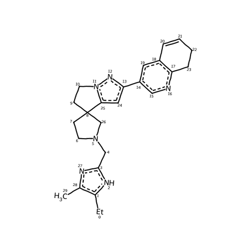 CCc1[nH]c(CN2CCC3(CCn4nc(-c5cnc6c(c5)C=CCC6)cc43)C2)nc1C